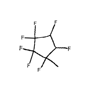 CC1(F)C(F)C(F)C(F)(F)C1(F)F